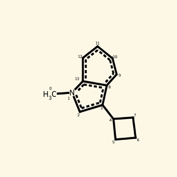 Cn1cc(C2CCC2)c2c[c]ccc21